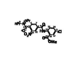 CCCN(CCC)[S+]([O-])c1ccc(C(=O)Nc2ccc(Cl)cc2C(=O)OC)cc1[N+](=O)[O-]